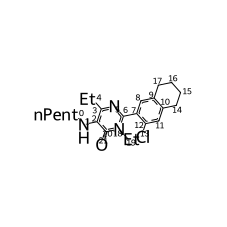 CCCCCNc1c(CC)nc(-c2cc3c(cc2Cl)CCCC3)n(CC)c1=O